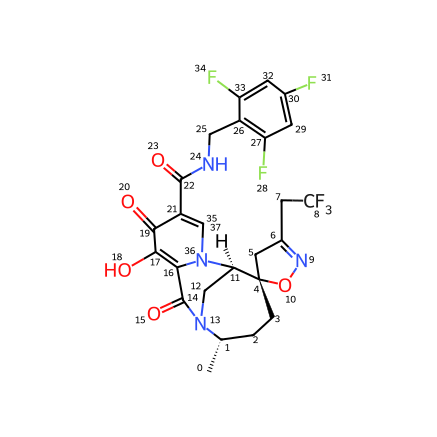 C[C@H]1CC[C@]2(CC(CC(F)(F)F)=NO2)[C@H]2CN1C(=O)c1c(O)c(=O)c(C(=O)NCc3c(F)cc(F)cc3F)cn12